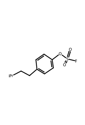 CC(C)CCc1ccc(OS(=O)(=O)F)cc1